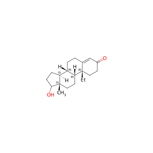 CC[C@]12CCC(=O)C=C1CC[C@@H]1[C@H]2CC[C@]2(C)C(O)CC[C@@H]12